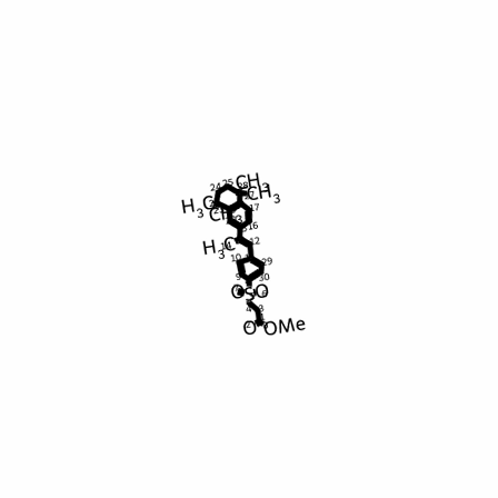 COC(=O)CCS(=O)(=O)c1ccc(/C=C(\C)c2ccc3c(c2)C(C)(C)CCC3(C)C)cc1